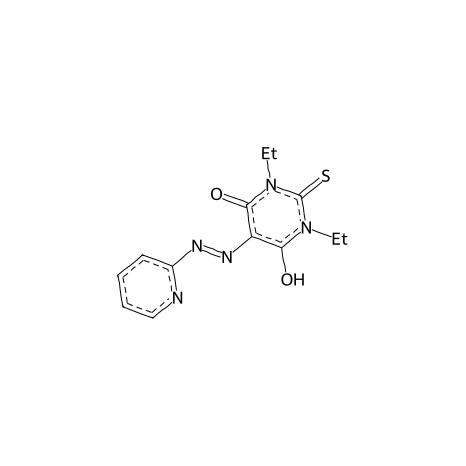 CCn1c(O)c(N=Nc2ccccn2)c(=O)n(CC)c1=S